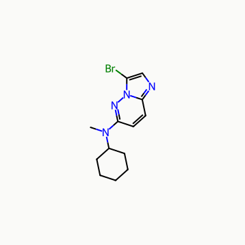 CN(c1ccc2ncc(Br)n2n1)C1CCCCC1